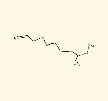 C=CCCCCCCC(C)OCCCC